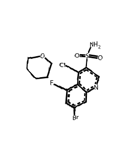 C1CCOCC1.NS(=O)(=O)c1cnc2cc(Br)cc(F)c2c1Cl